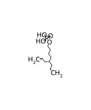 C=CCC(CC=C)CCCCOP(=O)(O)O